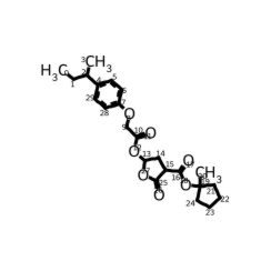 CCC(C)c1ccc(OCC(=O)OC2CC(C(=O)OC3(C)CCCC3)C(=O)O2)cc1